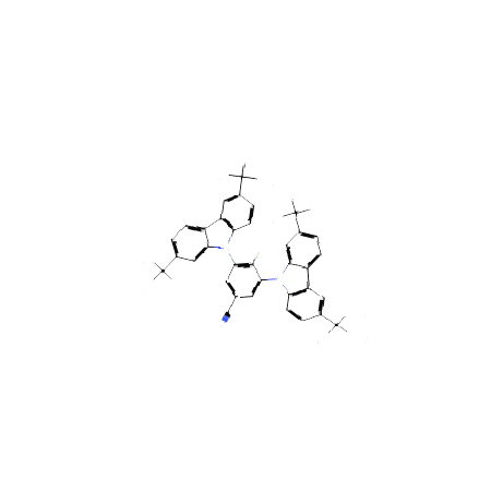 CC(C)(C)c1ccc2c(c1)c1ccc(C(C)(C)C)cc1n2-c1cc(C#N)cc(-n2c3ccc(C(C)(C)C)cc3c3ccc(C(C)(C)C)cc32)c1F